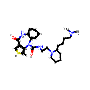 CCN(CC)CCCCC1CCCCN1CCNC(=O)N1c2ccccc2NC(=O)c2csc(C)c21